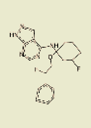 FC1CCCC(Nc2ncnc3[nH]ncc23)(OCC(F)c2ccccc2)C1